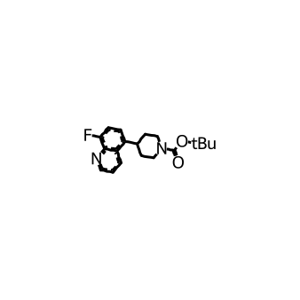 CC(C)(C)OC(=O)N1CCC(c2ccc(F)c3ncccc23)CC1